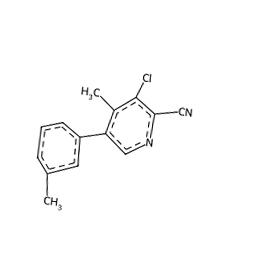 Cc1cccc(-c2cnc(C#N)c(Cl)c2C)c1